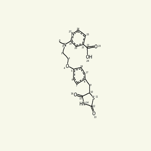 CN(CCOc1ccc(CC2SC(=O)NC2=O)cc1)c1cc(C(=O)O)ccn1